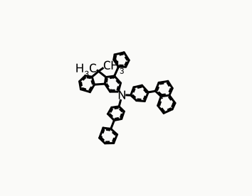 CC1(C)c2ccccc2-c2cc(N(c3ccc(-c4ccccc4)cc3)c3ccc(-c4cccc5ccccc45)cc3)cc(-c3ccccc3)c21